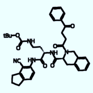 CC(C)(C)OC(=O)NCC[C@H](NC(=O)[C@@H]1Cc2ccccc2CN1C(=O)CCC(=O)c1ccccc1)C(=O)Nc1ccc2c(c1C#N)CCC2